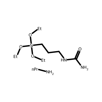 CCO[Si](CCCNC(N)=O)(OCC)OCC.[CH2]CCN